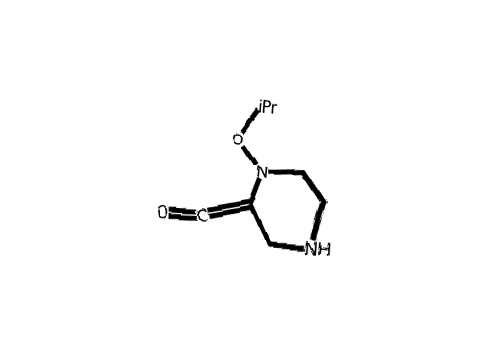 CC(C)ON1CCNCC1=C=O